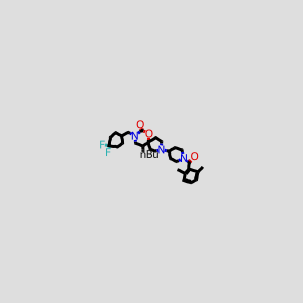 CCCCC1CN(CC2CCC(F)(F)CC2)C(=O)OC12CCN(C1CCN(C(=O)c3c(C)cccc3C)CC1)CC2